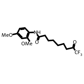 COc1ccc(NC(=O)CCCCCCC(=O)C(F)(F)F)c(OC)c1